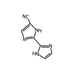 N#Cc1cnc(-c2ncc[nH]2)[nH]1